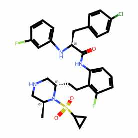 C[C@H]1CNC[C@H](CCc2c(F)cccc2NC(=O)[C@H](Cc2ccc(Cl)cc2)Nc2cccc(F)c2)N1S(=O)(=O)C1CC1